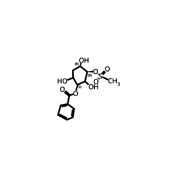 CS(=O)(=O)O[C@H]1C(O)[C@@H](OC(=O)c2ccccc2)C(O)C[C@H]1O